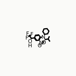 CC(C)CN(c1ccc(C(O)C(F)(F)F)cc1[N+](=O)[O-])C1CCCCC1